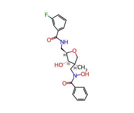 C[C@@]1(CN(O)C(=O)c2ccccc2)CO[C@H](CNC(=O)c2cccc(F)c2)[C@H]1O